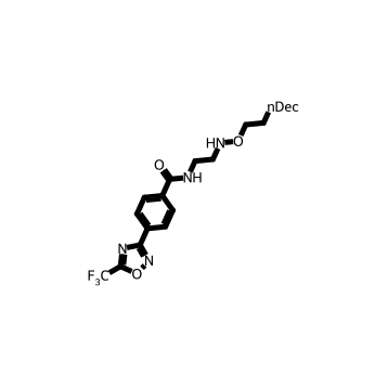 CCCCCCCCCCCCONCCNC(=O)c1ccc(-c2noc(C(F)(F)F)n2)cc1